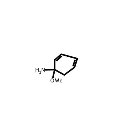 COC1(N)C=CC=CC1